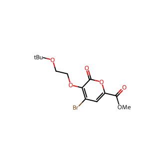 COC(=O)c1cc(Br)c(OCCOC(C)(C)C)c(=O)o1